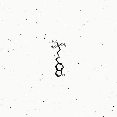 C[Si](C)(C)CCOCc1cnc2[nH]ccc2c1